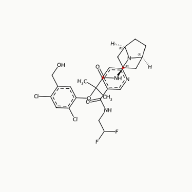 CC(C)(Oc1cc(CO)c(Cl)cc1Cl)C(=O)N[C@H]1C[C@H]2CC[C@@H](C1)N2c1ccc(C(=O)NCC(F)F)cn1